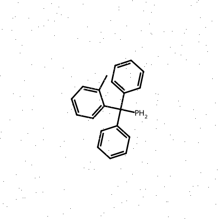 Cc1ccccc1C(P)(c1ccccc1)c1ccccc1